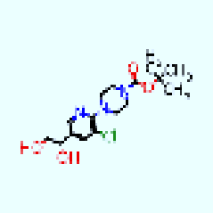 CC(C)(C)OC(=O)N1CCN(c2ncc([C@H](O)CO)cc2Cl)CC1